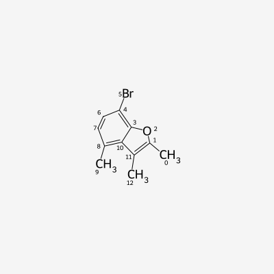 Cc1oc2c(Br)ccc(C)c2c1C